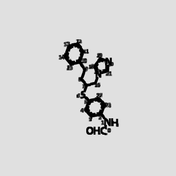 O=CNc1ccc(SC(CCc2ccccc2)Cn2ccnc2)cc1